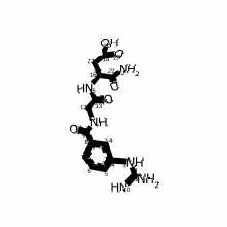 N=C(N)Nc1cccc(C(=O)NCC(=O)NC(CC(=O)O)C(N)=O)c1